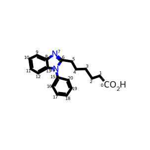 O=C(O)CCCCCc1nc2ccccc2n1-c1ccccc1